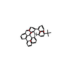 CC(C)(C)c1ccc(N(c2ccccc2-c2ccccc2)c2ccccc2-c2cccc3cccc(-c4ccccc4)c23)cc1